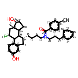 C[C@]12C[C@H](F)C3c4ccc(O)cc4C[C@@H](CCCCN(CCCc4ccccc4)C(=O)c4ccc(C#N)cc4)C3C1CC[C@@H]2O